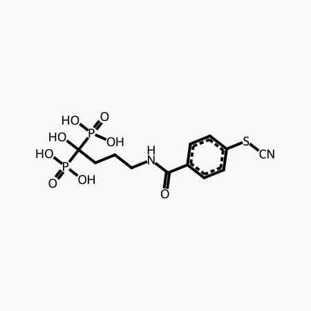 N#CSc1ccc(C(=O)NCCCC(O)(P(=O)(O)O)P(=O)(O)O)cc1